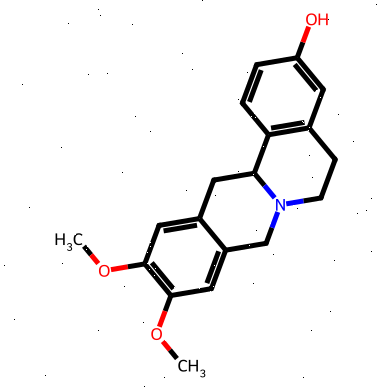 COc1cc2c(cc1OC)CN1CCc3cc(O)ccc3C1C2